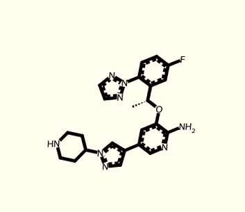 C[C@@H](Oc1cc(-c2cnn(C3CCNCC3)c2)cnc1N)c1cc(F)ccc1-n1nccn1